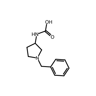 O=C(O)NC1CCN(Cc2ccccc2)C1